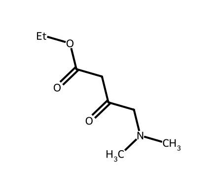 CCOC(=O)CC(=O)CN(C)C